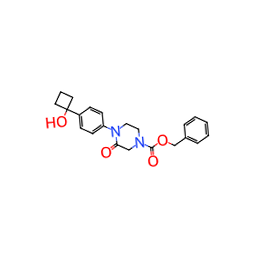 O=C(OCc1ccccc1)N1CCN(c2ccc(C3(O)CCC3)cc2)C(=O)C1